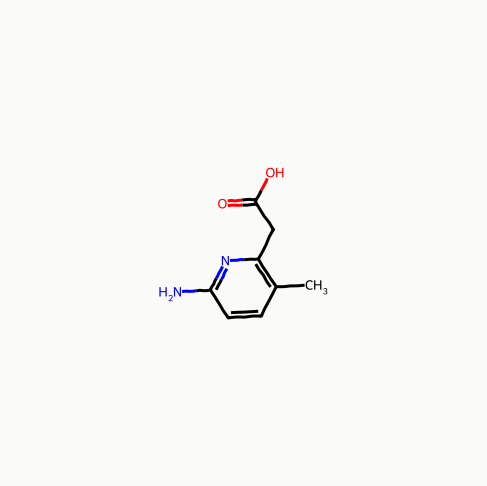 Cc1ccc(N)nc1CC(=O)O